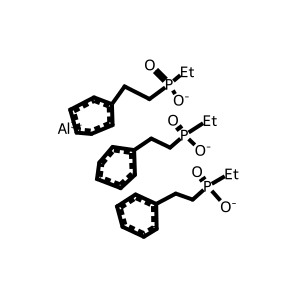 CCP(=O)([O-])CCc1ccccc1.CCP(=O)([O-])CCc1ccccc1.CCP(=O)([O-])CCc1ccccc1.[Al+3]